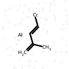 C=C(C)C=[CH][Cr].[Al]